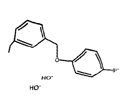 [B+2]c1ccc(OCc2cccc(C)c2)cc1.[OH-].[OH-]